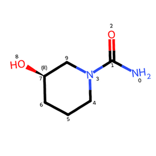 NC(=O)N1CCC[C@@H](O)C1